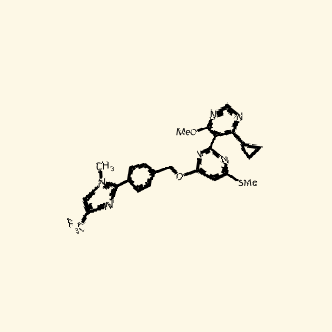 COc1ncnc(C2CC2)c1-c1nc(OCc2ccc(-c3nc(C(F)(F)F)cn3C)cc2)cc(SC)n1